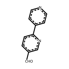 O=Cc1ccc(-c2ccncc2)nc1